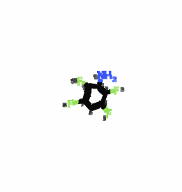 Nc1c(F)c(F)cc(F)c1F